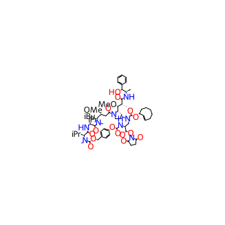 CC[C@H](C)[C@@H]([C@@H](CC(=O)N1CCC[C@H]1[C@H](OC)[C@@H](C)C(=O)N[C@H](C)[C@@H](O)c1ccccc1)OC)N(C)C(=O)[C@@H](NC(=O)[C@H](C(C)C)N(C)C(=O)OCc1ccc(OC(=O)NC(CN(C)C(=O)OC2/C=C/CCCCC2)C(=O)ON2C(=O)CCC2=O)cc1)C(C)C